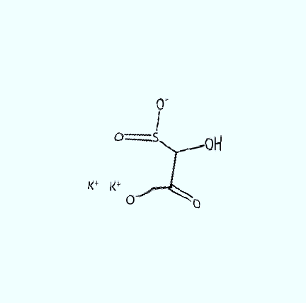 O=C([O-])C(O)S(=O)[O-].[K+].[K+]